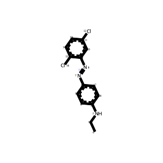 CCNc1ccc(/N=N/c2cc(Cl)ccc2Cl)cc1